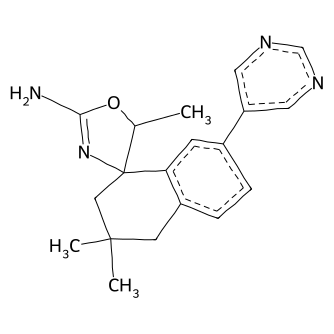 CC1OC(N)=NC12CC(C)(C)Cc1ccc(-c3cncnc3)cc12